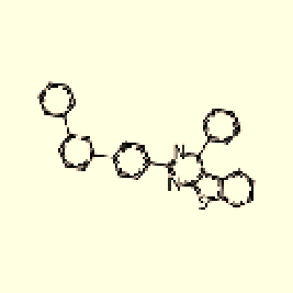 c1ccc(-c2cccc(-c3ccc(-c4nc(-c5ccccc5)c5c(n4)sc4ccccc45)cc3)c2)cc1